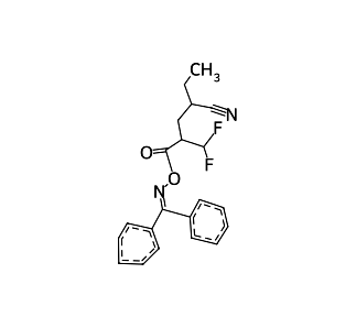 CCC(C#N)CC(C(=O)ON=C(c1ccccc1)c1ccccc1)C(F)F